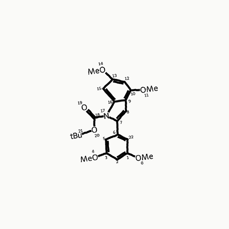 COc1cc(OC)cc(-c2cc3c(OC)cc(OC)cc3n2C(=O)OC(C)(C)C)c1